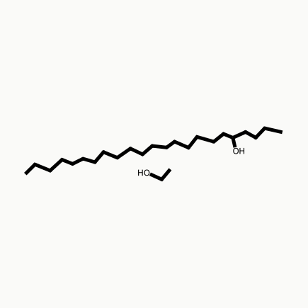 CCCCCCCCCCCCCCCCCCC(O)CCCC.CCO